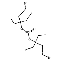 CCC(CC)(CCBr)O[PH](=O)OC(CC)(CC)CCBr